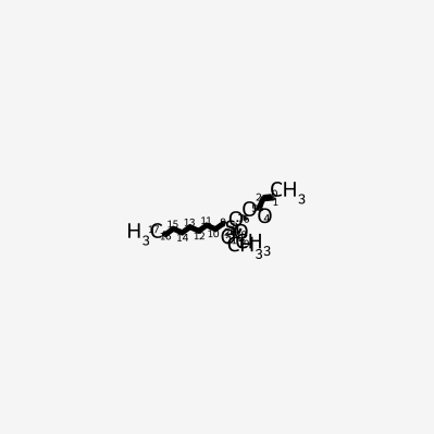 CC=CC(=O)OCO[Si](CCCCCCCCC)(OC)OC